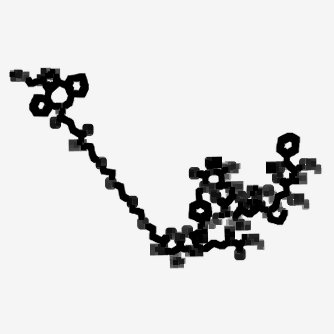 CC[C@H](C)[C@@H]([C@@H](CC(=O)N1CCC[C@H]1[C@H](OC)[C@@H](C)C(=O)N[C@H](C)[C@@H](O)c1ccccc1)OC)N(C)C(=O)[C@@H](NC(=O)[C@H](C(C)C)N(C)C(=O)OCc1ccc(NC(=O)[C@H](CCCNC(N)=O)NC(=O)[C@@H](NC(=O)CCOCCOCCOCCOCCNC(=O)CCC(=O)N2Cc3ccccc3-c3nnn(CC(C)(C)C)c3-c3ccccc32)C(C)C)cc1)C(C)C